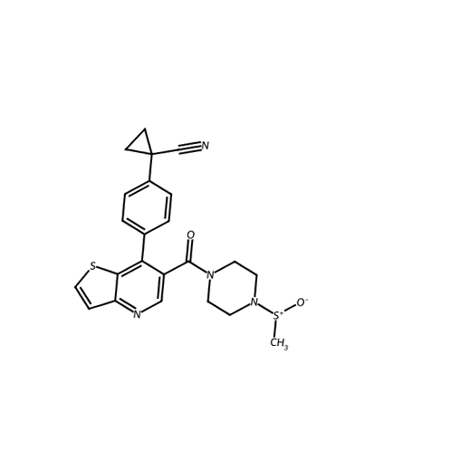 C[S+]([O-])N1CCN(C(=O)c2cnc3ccsc3c2-c2ccc(C3(C#N)CC3)cc2)CC1